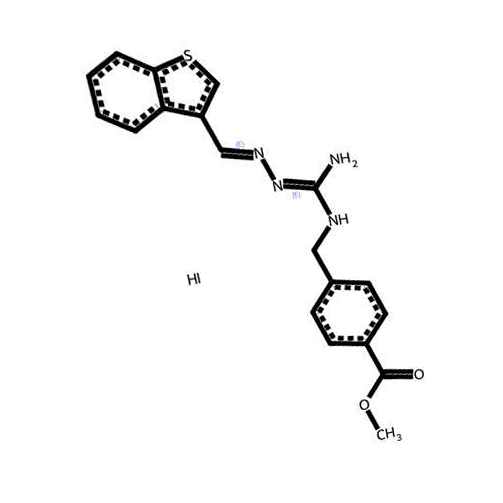 COC(=O)c1ccc(CN/C(N)=N/N=C/c2csc3ccccc23)cc1.I